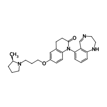 C[C@@H]1CCCN1CCCOc1ccc2c(c1)CCC(=O)N2c1cccc2c1C=NCCN2